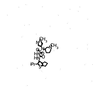 CC(C)c1sc2c(c1NC(=O)NS(=O)(=O)N(c1cnn(C)c1)[C@@H]1CCCN(C)C1)CCC2